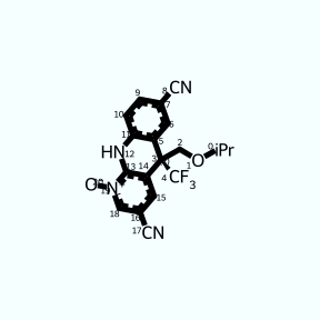 CC(C)OC[C@@]1(C(F)(F)F)c2cc(C#N)ccc2Nc2c1cc(C#N)c[n+]2[O-]